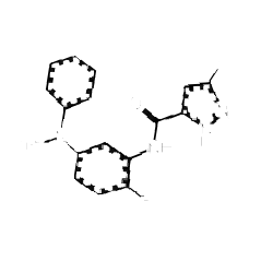 CCCN(c1ccccc1)c1ccc(F)c(NC(=O)c2cc(C(F)(F)F)n[nH]2)c1